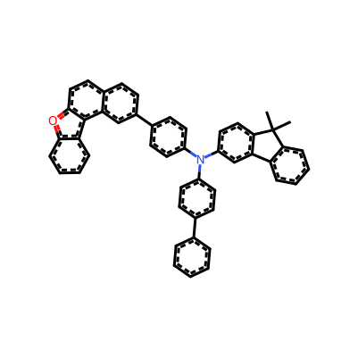 CC1(C)c2ccccc2-c2cc(N(c3ccc(-c4ccccc4)cc3)c3ccc(-c4ccc5ccc6oc7ccccc7c6c5c4)cc3)ccc21